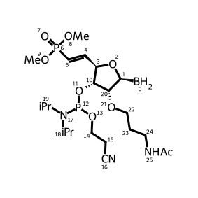 B[C@@H]1O[C@H](/C=C/P(=O)(OC)OC)[C@@H](OP(OCCC#N)N(C(C)C)C(C)C)[C@H]1OCCCNC(C)=O